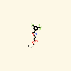 CCOC(=O)CCc1nc(-c2cc(C(F)(F)F)cc(C(F)(F)F)c2)co1